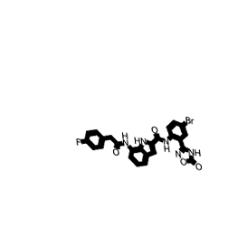 O=C(Cc1ccc(F)cc1)Nc1cccc2cc(C(=O)Nc3ccc(Br)cc3-c3noc(=O)[nH]3)[nH]c12